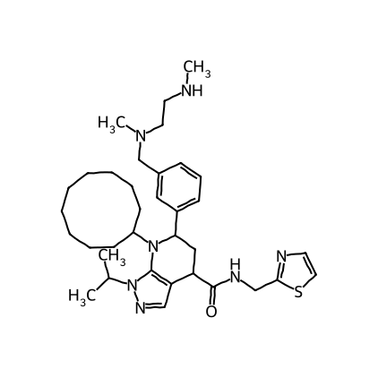 CNCCN(C)Cc1cccc(C2CC(C(=O)NCc3nccs3)c3cnn(C(C)C)c3N2C2CCCCCCCCC2)c1